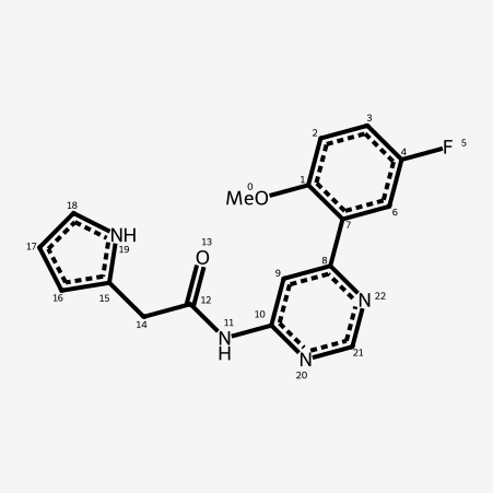 COc1ccc(F)cc1-c1cc(NC(=O)Cc2ccc[nH]2)ncn1